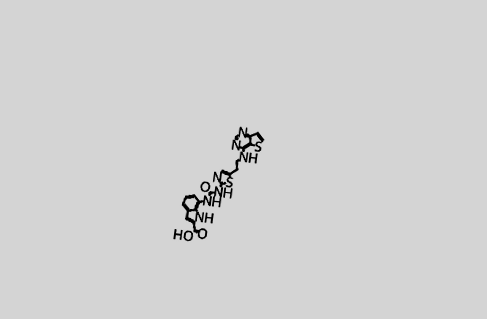 O=C(Nc1ncc(CCNc2ncnc3ccsc23)s1)Nc1cccc2cc(C(=O)O)[nH]c12